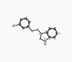 Fc1cccc(CCC2CNc3ccccc32)c1